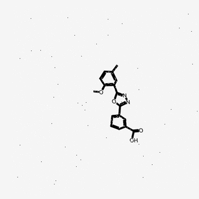 COc1ccc(C)cc1-c1nnc(-c2cccc(C(=O)O)c2)o1